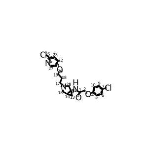 O=C(COc1ccc(Cl)cc1)N[C@]12CC1CN(CCCOc1ccc(Cl)nc1)C2